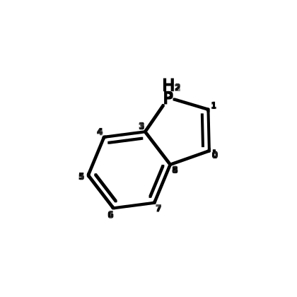 [c]1c[pH]c2ccccc12